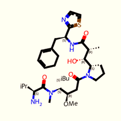 CC[C@H](C)[C@@H]([C@@H](CC(=O)N1CCC[C@H]1[C@H](O)[C@@H](C)C(=O)N[C@@H](CC1=CC=CCC1)c1nccs1)OC)N(C)C(=O)[C@@H](N)C(C)C